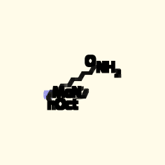 C=CC.CCCCCCCC/C=C\CCCCCCCC(N)=O.CNC